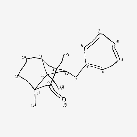 CC1(Cc2ccccc2)C(=O)C2(C)CCC1C2(C)C